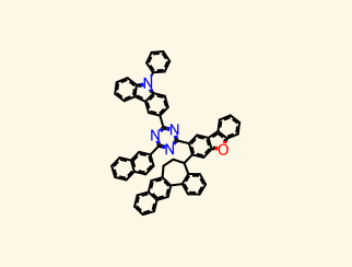 c1ccc(-n2c3ccccc3c3cc(-c4nc(-c5ccc6ccccc6c5)nc(-c5cc6c(cc5C5CCc7cc8ccccc8cc7-c7ccccc75)oc5ccccc56)n4)ccc32)cc1